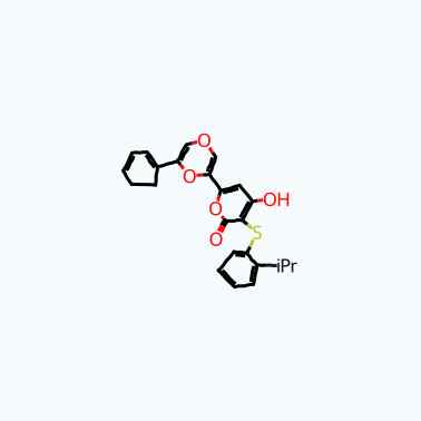 CC(C)c1ccccc1Sc1c(O)cc(C2=COC=C(C3=CC=CCC3)O2)oc1=O